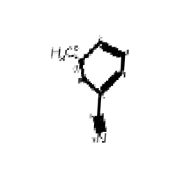 C[C@@H]1C=CC=C(C#N)C1